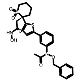 CC(=O)N(OCc1ccccc1)c1cccc(-c2ccc([C@@]3(CC(=O)NO)CCCCS3(=O)=O)s2)c1